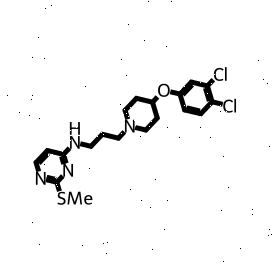 CSc1nccc(NCCCN2CCC(Oc3ccc(Cl)c(Cl)c3)CC2)n1